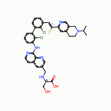 CC(C)N1CCc2cc(/C(F)=C/c3cccc(-c4cccc(Nc5nccc6cc(CN[C@H](CO)C(=O)O)cnc56)c4Cl)c3Cl)ncc2C1